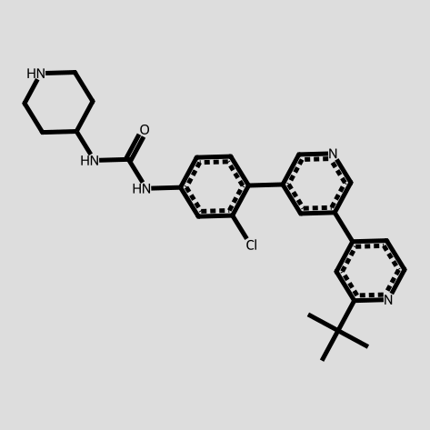 CC(C)(C)c1cc(-c2cncc(-c3ccc(NC(=O)NC4CCNCC4)cc3Cl)c2)ccn1